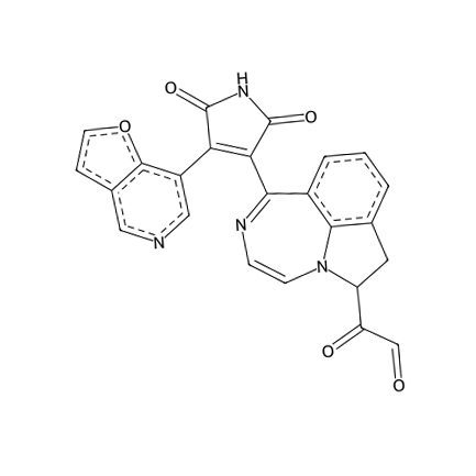 O=CC(=O)C1Cc2cccc3c2N1C=CN=C3C1=C(c2cncc3ccoc23)C(=O)NC1=O